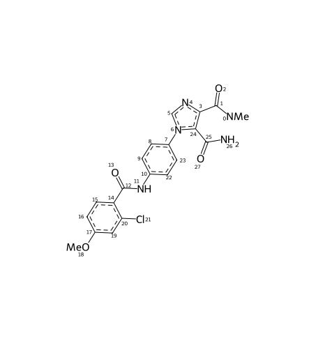 CNC(=O)c1ncn(-c2ccc(NC(=O)c3ccc(OC)cc3Cl)cc2)c1C(N)=O